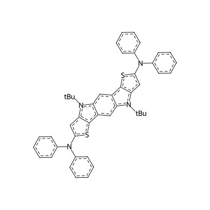 CC(C)(C)n1c2cc3c4sc(N(c5ccccc5)c5ccccc5)cc4n(C(C)(C)C)c3cc2c2sc(N(c3ccccc3)c3ccccc3)cc21